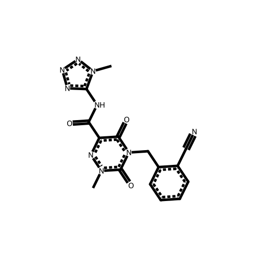 Cn1nnnc1NC(=O)c1nn(C)c(=O)n(Cc2ccccc2C#N)c1=O